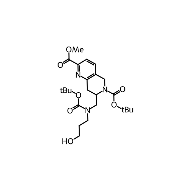 COC(=O)c1ccc2c(n1)CC(CN(CCCO)C(=O)OC(C)(C)C)N(C(=O)OC(C)(C)C)C2